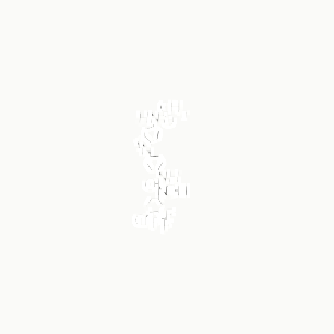 CC(=O)Nc1ccc2c(ccn2-c2ccc(NC(=O)N(O)c3ccc(Cl)c(C(F)(F)F)c3)cc2)c1